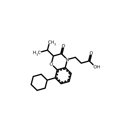 CC(C)C1Oc2c(C3CCCCC3)cccc2N(CCC(=O)O)C1=O